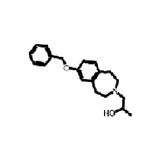 CC(O)CN1CCc2ccc(OCc3ccccc3)cc2CC1